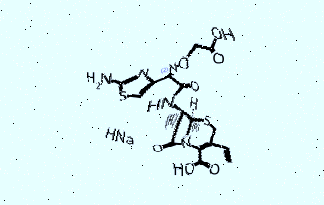 C=CC1=C(C(=O)O)N2C(=O)[C@@H](NC(=O)/C(=N\OCC(=O)O)c3csc(N)n3)[C@H]2SC1.[NaH]